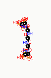 O=C(Nc1ccc(C(=O)Nc2ccc(S(=O)(=O)O)c3cc(S(=O)(=O)O)cc(S(=O)(=O)O)c23)cc1)c1ccc(C(=O)Nc2ccc(C(=O)Nc3ccc(S(=O)(=O)O)c4cc(S(=O)(=O)O)cc(S(=O)(=O)O)c34)cc2)cc1